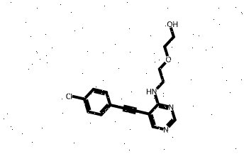 OCCOCCNc1ncncc1C#Cc1ccc(Cl)cc1